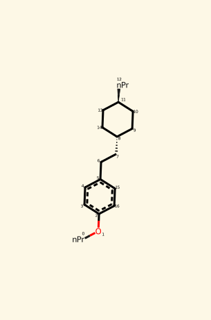 CCCOc1ccc(CC[C@H]2CC[C@H](CCC)CC2)cc1